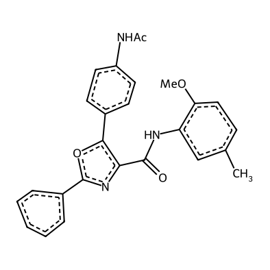 COc1ccc(C)cc1NC(=O)c1nc(-c2ccccc2)oc1-c1ccc(NC(C)=O)cc1